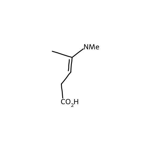 CNC(C)=CCC(=O)O